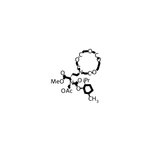 COC(=O)[C@H](CCN1CCOCCOCCOCCOCC1)N(COC(C)=O)C(=O)O[C@@H]1C[C@H](C)CC[C@H]1C(C)C